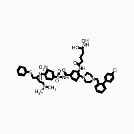 CN(C)CCC(CSc1ccccc1)Nc1ccc(S(=O)(=O)NC(=O)c2ccc(N3CCN(Cc4ccccc4-c4ccc(Cl)cc4)CC3)c(NC(=O)CCCC(O)NO)c2)cc1[N+](=O)[O-]